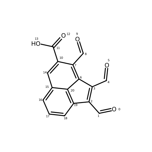 O=CC1=C(C=O)c2c(C=O)c(C(=O)O)cc3cccc1c23